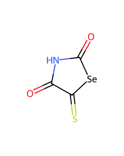 O=C1NC(=O)C(=S)[Se]1